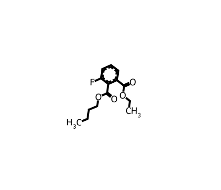 CCCCOC(=O)c1c(F)cccc1C(=O)OCC